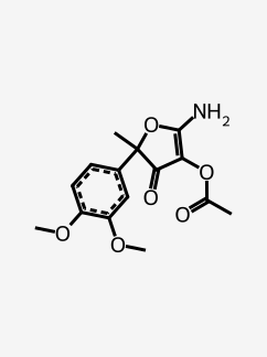 COc1ccc(C2(C)OC(N)=C(OC(C)=O)C2=O)cc1OC